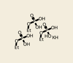 CCOP(=O)(O)O.CCOP(=O)(O)O.CCOP(=O)(O)O.[KH]